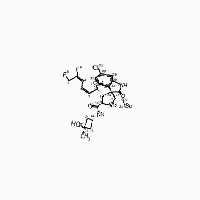 CC(/C=C\C=C(\F)CF)[C@H]1[C@H](C(=O)N[C@H]2C[C@@](C)(O)C2)N[C@@H](CC(C)(C)C)[C@@]12C(=O)Nc1cc(Cl)ccc12